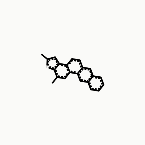 Cc1cc2c(o1)c(C)cc1c3cc4ccccc4cc3ccc21